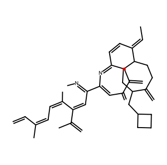 C=C\C(C)=C/C=C(C)\C(=C/C(=N\C)C1=CC(=C)C(=C)CC(/C=C\C(=C/C)C2CCC(=C)C(CC3CCC3)CC2)=N1)C(=C)C